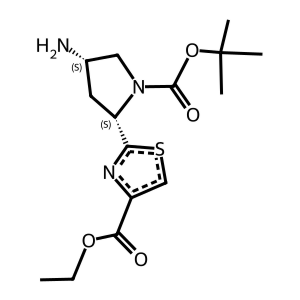 CCOC(=O)c1csc([C@@H]2C[C@H](N)CN2C(=O)OC(C)(C)C)n1